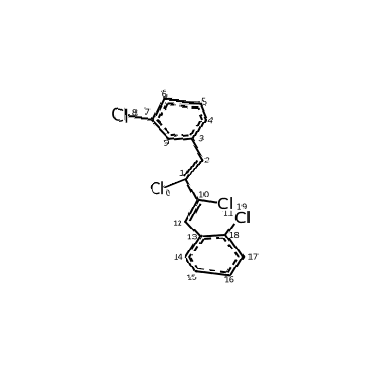 ClC(=Cc1cccc(Cl)c1)C(Cl)=Cc1ccccc1Cl